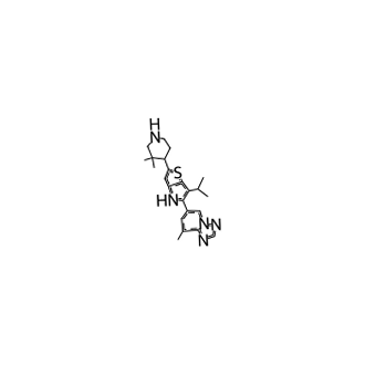 Cc1cc(-c2[nH]c3cc(C4CCNCC4(C)C)sc3c2C(C)C)cn2ncnc12